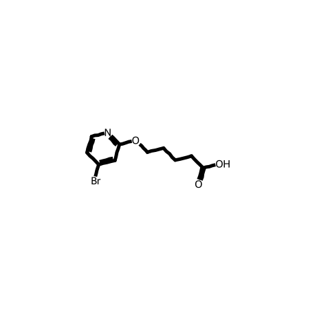 O=C(O)CCCCOc1cc(Br)ccn1